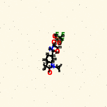 CC1(C)C(=O)N(C2CC2)c2cc(-c3nc(OS(=O)(=O)C(F)(F)F)co3)ccc21